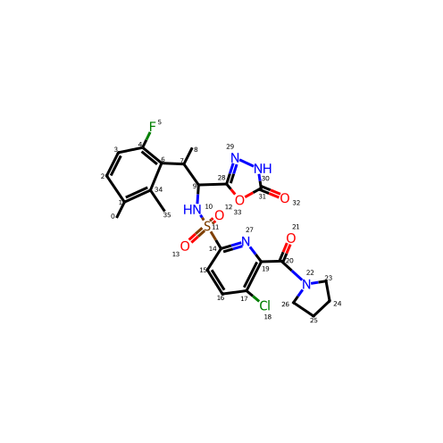 Cc1ccc(F)c(C(C)C(NS(=O)(=O)c2ccc(Cl)c(C(=O)N3CCCC3)n2)c2n[nH]c(=O)o2)c1C